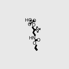 C=CCOC(=O)NCCC(COP(=O)([O-])O)[N+](C)(C)C